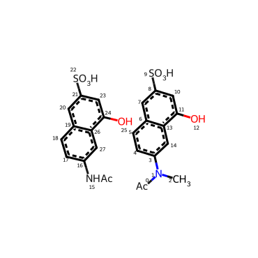 CC(=O)N(C)c1ccc2cc(S(=O)(=O)O)cc(O)c2c1.CC(=O)Nc1ccc2cc(S(=O)(=O)O)cc(O)c2c1